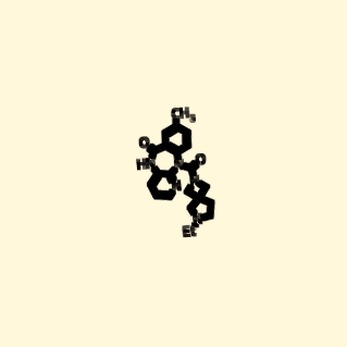 CCN1CCC2(C1)CN(C(=O)N1c3ccc(C)cc3C(=O)Nc3cccnc31)C2